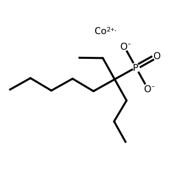 CCCCCC(CC)(CCC)P(=O)([O-])[O-].[Co+2]